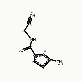 C#CCNC(=O)c1ccc(C)s1